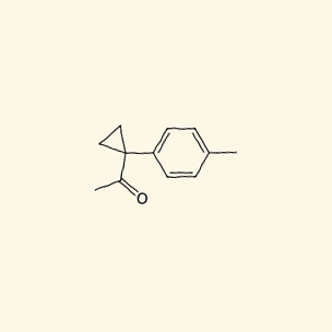 CC(=O)C1(c2ccc(C)cc2)CC1